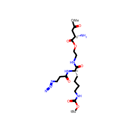 COC(=O)C[C@H](N)C(=O)OCCNC(=O)[C@H](CCCCNC(=O)OC(C)(C)C)NC(=O)CCN=[N+]=[N-]